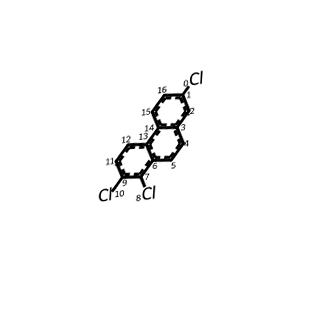 Clc1[c]c2ccc3c(Cl)c(Cl)[c]cc3c2cc1